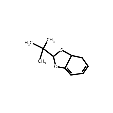 CC(C)(C)C1OC2=CC=CCC2S1